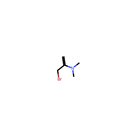 C=C(CBr)N(C)C